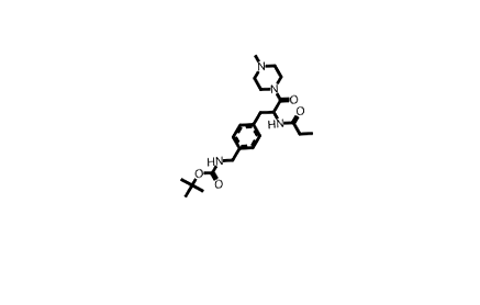 CCC(=O)NC(Cc1ccc(CNC(=O)OC(C)(C)C)cc1)C(=O)N1CCN(C)CC1